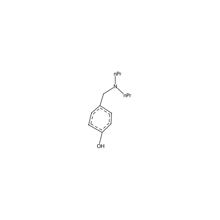 CCCN(CCC)Cc1ccc(O)cc1